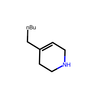 CCCCCC1=CCNCC1